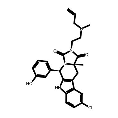 C=CCN(C)CCN1C(=O)N2[C@H](c3cccc(O)c3)c3[nH]c4ccc(Cl)cc4c3C[C@@]2(C)C1=O